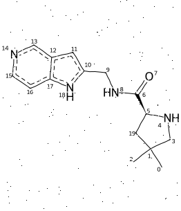 CC1(C)CN[C@H](C(=O)NCc2cc3cnccc3[nH]2)C1